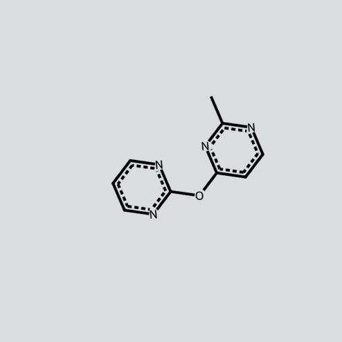 Cc1nccc(Oc2ncccn2)n1